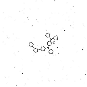 c1ccc(-c2cccc(-c3ccc(N(c4ccccc4)c4ccc5c(c4)Oc4ccccc4N5c4ccccc4)cc3)c2)cc1